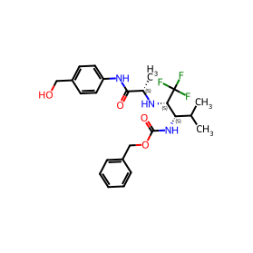 CC(C)[C@H](NC(=O)OCc1ccccc1)[C@H](N[C@@H](C)C(=O)Nc1ccc(CO)cc1)C(F)(F)F